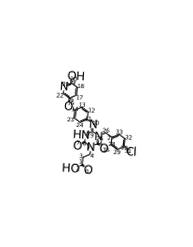 O=C(O)CCn1c(=O)[nH]/c(=N\c2ccc(Oc3ccc(O)nc3)cc2)n(Cc2ccc(Cl)cc2)c1=O